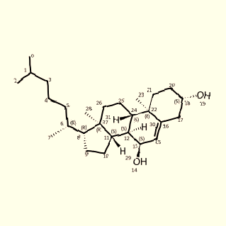 CC(C)CCC[C@@H](C)[C@H]1CC[C@H]2[C@@H]3[C@H](O)C=C4C[C@@H](O)CC[C@]4(C)[C@H]3CC[C@]12C